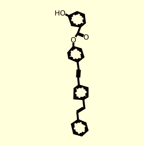 O=C(Oc1ccc(C#Cc2ccc(C=Cc3ccccc3)cc2)cc1)c1cccc(O)c1